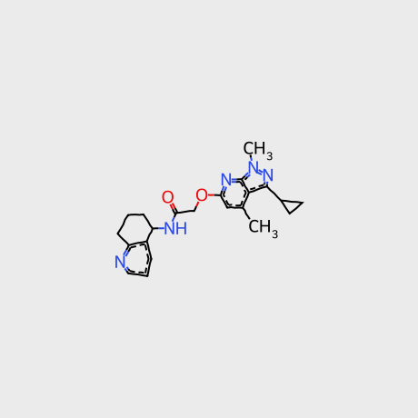 Cc1cc(OCC(=O)NC2CCCc3ncccc32)nc2c1c(C1CC1)nn2C